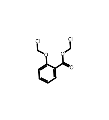 O=C(OCCl)c1ccccc1OCCl